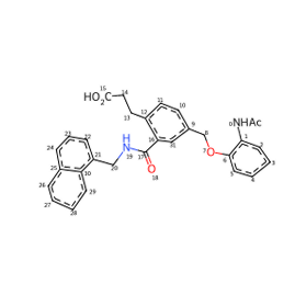 CC(=O)Nc1ccccc1OCc1ccc(CCC(=O)O)c(C(=O)NCc2cccc3ccccc23)c1